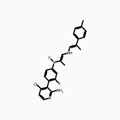 C/C(=C\N/C=C(\C)N(F)c1ccc(-c2c(Cl)ccnc2N)c(F)c1)c1ccc(C)cc1